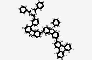 c1ccc(-c2nc(-c3ccccc3)nc(-c3cccc(-c4cccc5oc6ccc(-c7ccc8c(c7)c7cc(-c9ccc%10c%11ccccc%11c%11ccccc%11c%10c9)ccc7n8-c7ccccc7)cc6c45)c3)n2)cc1